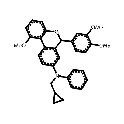 COc1ccc(C2Oc3cccc(OC)c3-c3ccc(N(CC4CC4)c4ccccc4)cc32)cc1OC